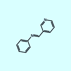 C(=N\c1ccccc1)/c1cccnc1